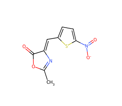 CC1=NC(=Cc2ccc([N+](=O)[O-])s2)C(=O)O1